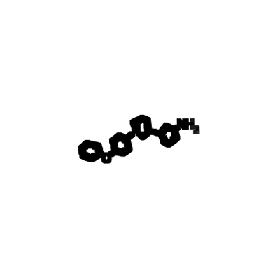 Nc1cccc(C2=CC=CN(c3ccc(Oc4ccccc4)cc3)C2)c1